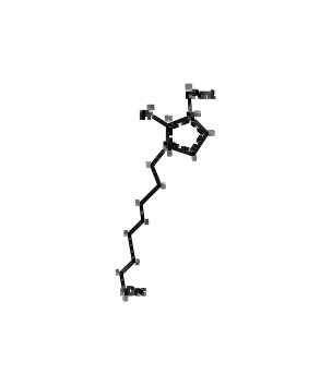 CCCCCCCCCCCCCCCCC[n+]1ccn(CCCCC)c1C(C)C